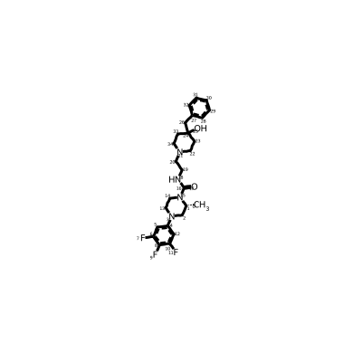 C[C@@H]1CN(c2cc(F)c(F)c(F)c2)CCN1C(=O)NCCN1CCC(O)(Cc2ccccc2)CC1